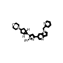 CC(C)n1nc(-c2cnc3ccn(Cc4ccccn4)c3c2)cc1[C@H]1[C@@H]2CC(N3CCOCC3)C[C@@H]21